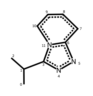 CC(C)c1nnc2c[c]ccn12